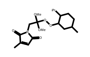 COC(CN1C(=O)C=C(C)C1=O)(OC)OOC1CC(C)CCC1C(C)C